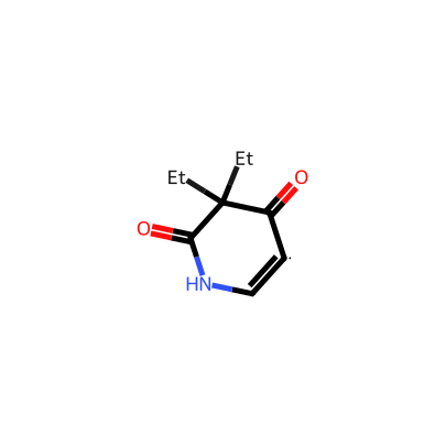 CCC1(CC)C(=O)[C]=CNC1=O